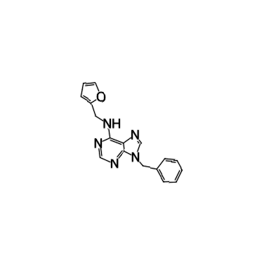 c1ccc(Cn2cnc3c(NCc4ccco4)ncnc32)cc1